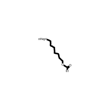 CCCCCCCCCCCCCCOC(=O)CC